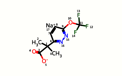 CC(C)(C(=O)[O-])c1ccc(OC(F)(F)F)nn1.[Na+]